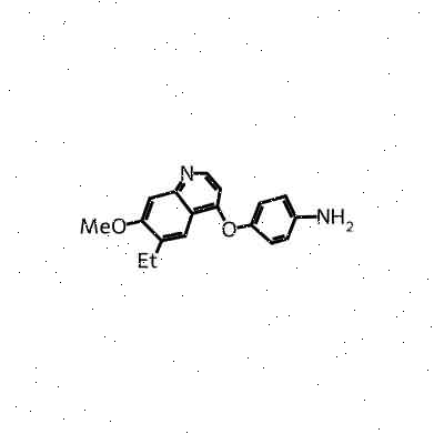 CCc1cc2c(Oc3ccc(N)cc3)ccnc2cc1OC